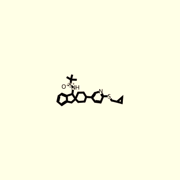 CC(C)(C)[S@@+]([O-])NC1c2ccccc2CC12CCC(c1ccc(SCC3CC3)nc1)CC2